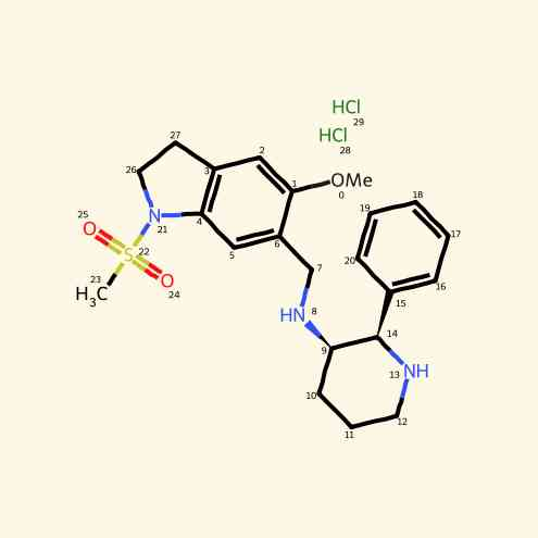 COc1cc2c(cc1CN[C@@H]1CCCN[C@@H]1c1ccccc1)N(S(C)(=O)=O)CC2.Cl.Cl